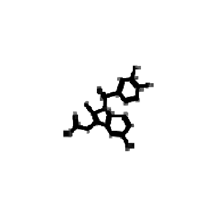 Cc1c(CC(=O)O)c2cc(O)ccc2n1C(=O)c1ccc(F)c(F)c1